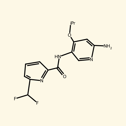 CC(C)Oc1cc(N)ncc1NC(=O)c1cccc(C(F)F)n1